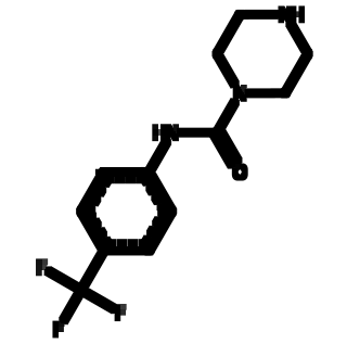 O=C(Nc1[c]cc(C(F)(F)F)cc1)N1CCNCC1